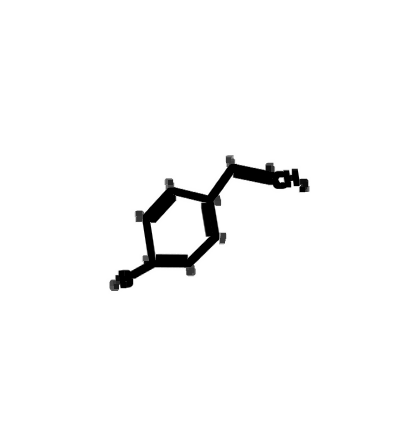 [B]c1ccc(C=C)cc1